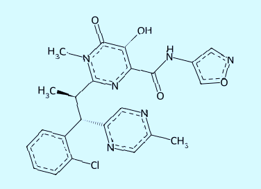 Cc1cnc([C@H](c2ccccc2Cl)[C@@H](C)c2nc(C(=O)Nc3cnoc3)c(O)c(=O)n2C)cn1